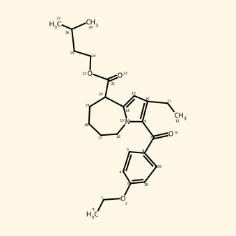 CCOc1ccc(C(=O)c2c(CC)cc3n2CCCCC3C(=O)OCCC(C)C)cc1